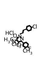 Cc1cc(-c2nn(CC=Cc3ccc(Cl)cc3)c(=O)c(N(C)C)c2C)ccc1F.Cl